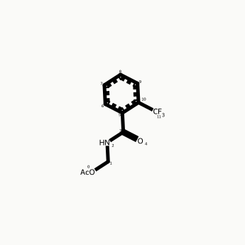 CC(=O)OCNC(=O)c1ccccc1C(F)(F)F